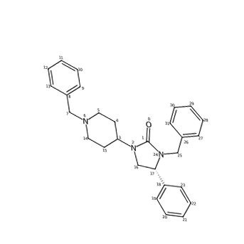 O=C1N(C2CCN(Cc3ccccc3)CC2)C[C@@H](c2ccccc2)N1Cc1ccccc1